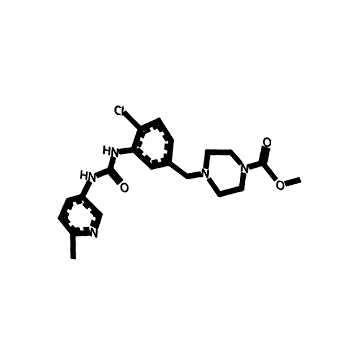 COC(=O)N1CCN(Cc2ccc(Cl)c(NC(=O)Nc3ccc(C)nc3)c2)CC1